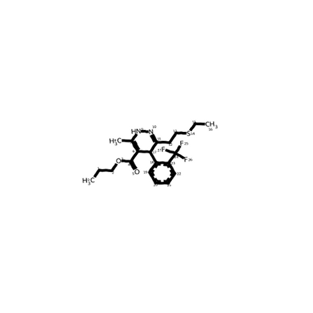 CCCOC(=O)C1=C(C)NN=C(CCSCC)C1c1ccccc1C(F)(F)F